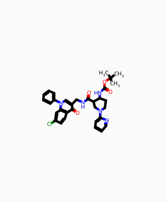 CC(C)(C)OC(=O)NC1CCN(c2ccccn2)CC1C(=O)NCc1cn(-c2ccccc2)c2cc(Cl)ccc2c1=O